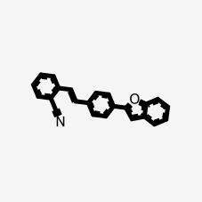 N#Cc1ccccc1C=Cc1ccc(-c2cc3ccccc3o2)cc1